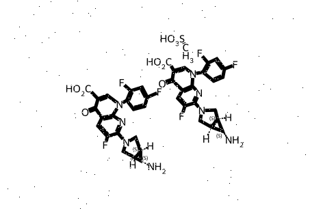 CS(=O)(=O)O.N[C@@H]1[C@H]2CN(c3nc4c(cc3F)c(=O)c(C(=O)O)cn4-c3ccc(F)cc3F)C[C@@H]12.N[C@@H]1[C@H]2CN(c3nc4c(cc3F)c(=O)c(C(=O)O)cn4-c3ccc(F)cc3F)C[C@@H]12